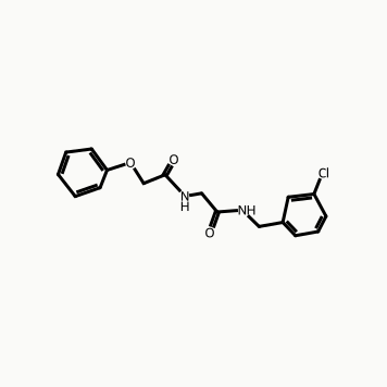 O=C(CNC(=O)COc1ccccc1)NCc1cccc(Cl)c1